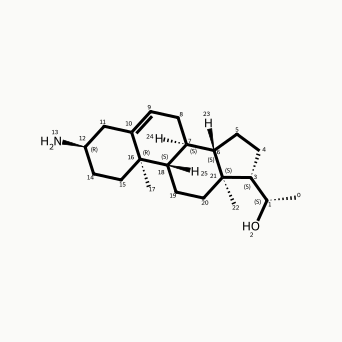 C[C@H](O)[C@H]1CC[C@H]2[C@@H]3CC=C4C[C@H](N)CC[C@]4(C)[C@H]3CC[C@]12C